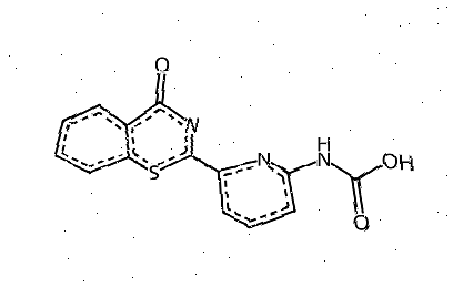 O=C(O)Nc1cccc(-c2nc(=O)c3ccccc3s2)n1